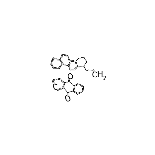 C=CCC1CCCc2c1ccc1c2ccc2ccccc21.O=C1c2ccccc2C(=O)c2ccccc21